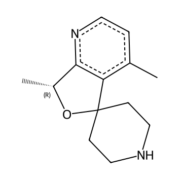 Cc1ccnc2c1C1(CCNCC1)O[C@@H]2C